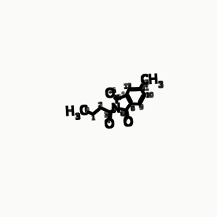 CCCC(=O)N1C(=O)c2ccc(C)cc2C1=O